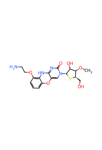 COC1C(O)[C@H](n2cc3c(nc2=O)Nc2c(OCCN)cccc2O3)S[C@@H]1CO